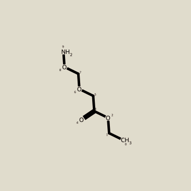 CCOC(=O)COCON